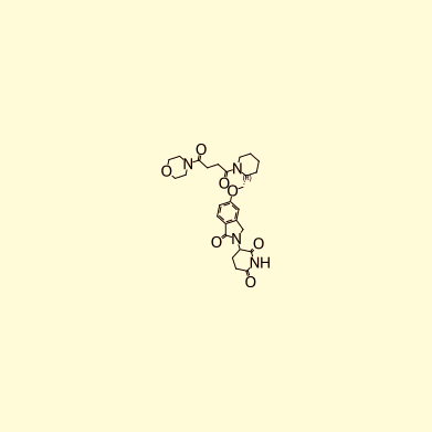 O=C1CCC(N2Cc3cc(OC[C@H]4CCCCN4C(=O)CCC(=O)N4CCOCC4)ccc3C2=O)C(=O)N1